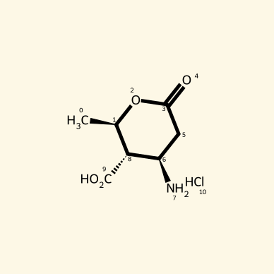 C[C@H]1OC(=O)C[C@@H](N)[C@@H]1C(=O)O.Cl